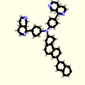 c1ccc2cc(-c3ccc4c(ccc5cc(N(c6ccc(-c7nccc8ccncc78)cc6)c6ccc(-c7nccc8ccncc78)cc6)ccc54)c3)ccc2c1